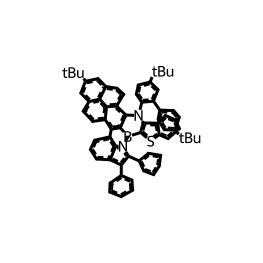 CC(C)(C)c1ccc(-c2cc(C(C)(C)C)ccc2N2c3c(sc4ccccc34)B3c4c(c5ccc6cc(C(C)(C)C)cc7ccc(c42)c5c67)-c2cccc4c(-c5ccccc5)c(-c5ccccc5)n3c24)cc1